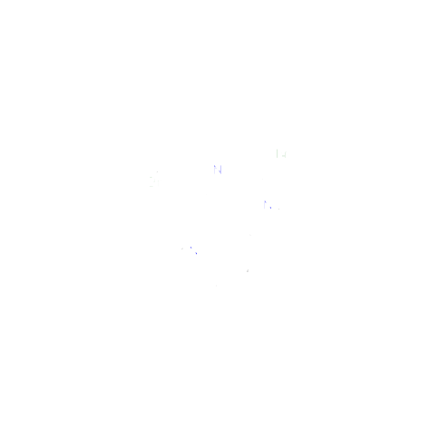 BrC1=NC2C=CN=C2C(Br)=N1